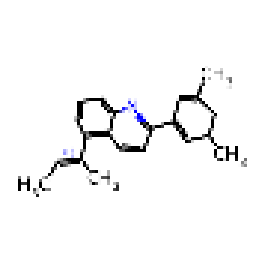 C/C=C(\C)c1cccc2nc(C3=CC(C)CC(C)=C3)ccc12